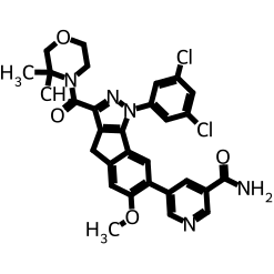 COc1cc2c(cc1-c1cncc(C(N)=O)c1)-c1c(c(C(=O)N3CCOCC3(C)C)nn1-c1cc(Cl)cc(Cl)c1)C2